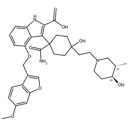 COc1ccc2c(COc3cccc4[nH]c(C(=O)O)c(C5(C(N)=O)CCC(O)(CCN6CC[C@H](O)[C@@H](C)C6)CC5)c34)coc2c1